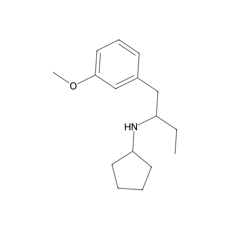 CCC(Cc1cccc(OC)c1)NC1CCCC1